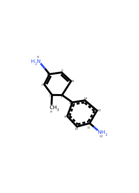 CC1C=C(N)C=CC1c1ccc(N)cc1